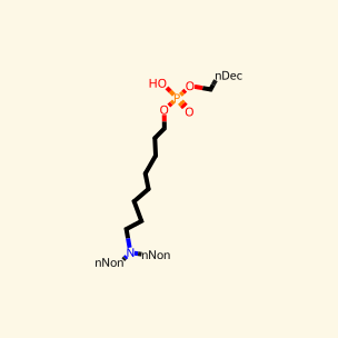 CCCCCCCCCCCOP(=O)(O)OCCCCCCCCN(CCCCCCCCC)CCCCCCCCC